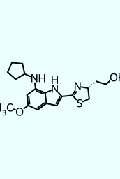 COc1cc(NC2CCCC2)c2[nH]c(C3=N[C@H](CCO)CS3)cc2c1